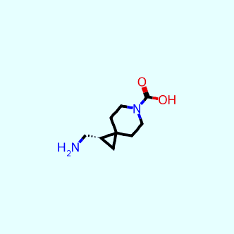 NC[C@H]1CC12CCN(C(=O)O)CC2